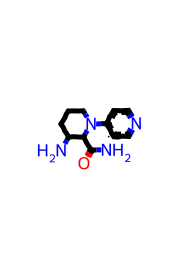 NC(=O)C1C(N)CCCN1c1[c]cncc1